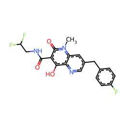 Cn1c(=O)c(C(=O)NCC(F)F)c(O)c2ncc(Cc3ccc(F)cc3)cc21